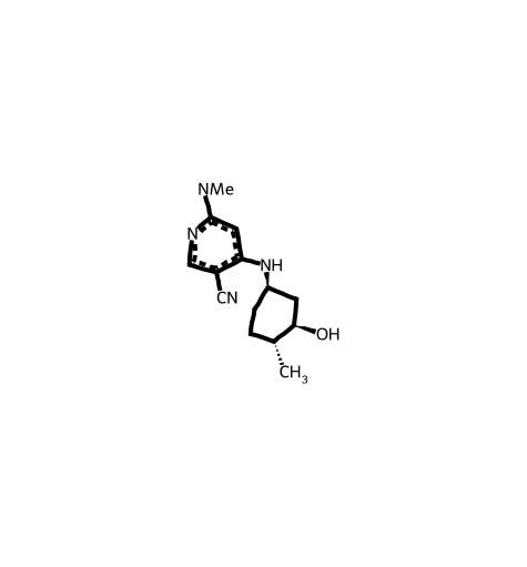 CNc1cc(N[C@@H]2CC[C@@H](C)[C@H](O)C2)c(C#N)cn1